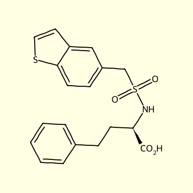 O=C(O)[C@@H](CCc1ccccc1)NS(=O)(=O)Cc1ccc2sccc2c1